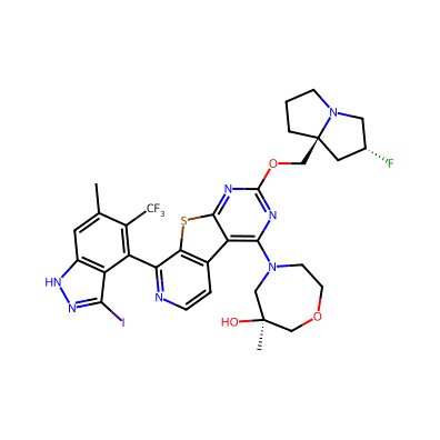 Cc1cc2[nH]nc(I)c2c(-c2nccc3c2sc2nc(OC[C@@]45CCCN4C[C@H](F)C5)nc(N4CCOC[C@@](C)(O)C4)c23)c1C(F)(F)F